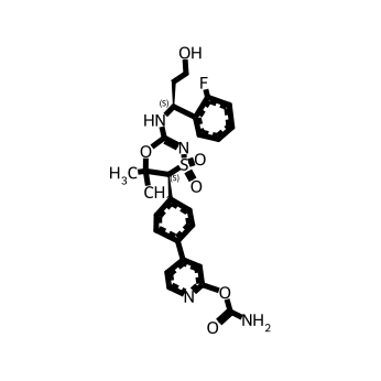 CC1(C)OC(N[C@@H](CCO)c2ccccc2F)=NS(=O)(=O)[C@H]1c1ccc(-c2ccnc(OC(N)=O)c2)cc1